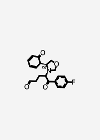 O=CCCC(C(=O)c1ccc(F)cc1)N1COC[C@@H]1C1C=CC=CC1=O